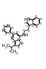 CC(C)c1cnn2c(NCCc3c[nH]c4ccccc34)cc(-c3cncnc3)nc12